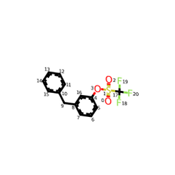 O=S(=O)(Oc1cccc(Cc2ccccc2)c1)C(F)(F)F